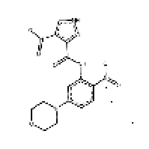 O=C(Nc1cc(N2CCOCC2)ccc1[N+](=O)[O-])c1n[nH]cc1[N+](=O)[O-]